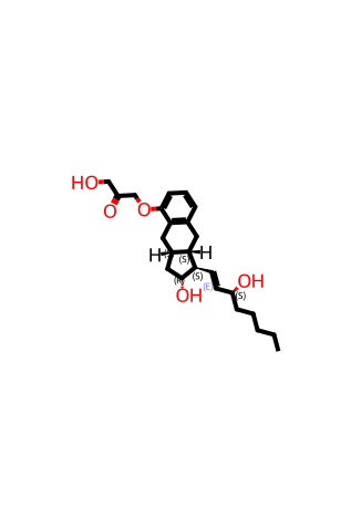 CCCCC[C@H](O)/C=C/[C@@H]1[C@H]2Cc3cccc(OCC(=O)CO)c3C[C@H]2C[C@H]1O